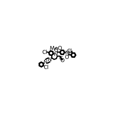 COc1cc(NC(=O)c2ccccc2Cl)ccc1C(=O)N1c2ccc(Cl)cc2C(N2CCN(c3ccccc3Cl)CC2)CCC1C=C=O